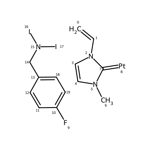 C=Cn1ccn(C)[c]1=[Pt].Fc1ccc(CN(I)I)cc1